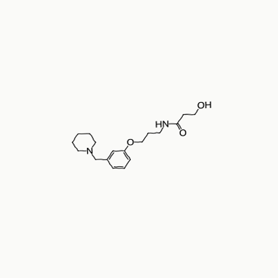 O=C(CCO)NCCCOc1cccc(CN2CCCCC2)c1